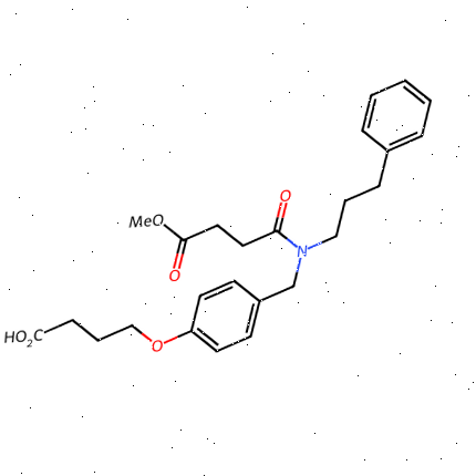 COC(=O)CCC(=O)N(CCCc1ccccc1)Cc1ccc(OCCCC(=O)O)cc1